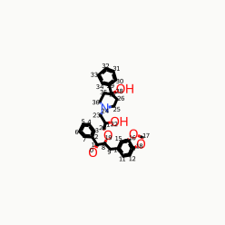 O=C(c1ccccc1)C(Cc1ccc2c(c1)OCO2)OCC(O)CN1CCC(O)(c2ccccc2)CC1